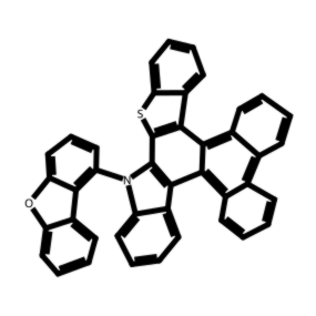 c1ccc2c(c1)oc1cccc(-n3c4ccccc4c4c5c6ccccc6c6ccccc6c5c5c6ccccc6sc5c43)c12